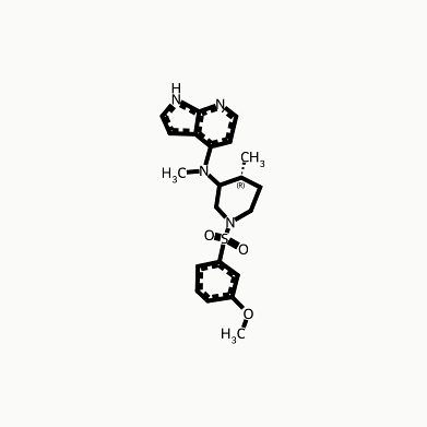 COc1cccc(S(=O)(=O)N2CC[C@@H](C)C(N(C)c3ccnc4[nH]ccc34)C2)c1